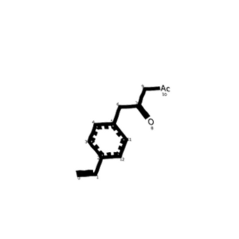 C=Cc1ccc(CC(=O)CC(C)=O)cc1